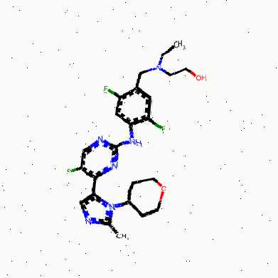 CCN(CCO)Cc1cc(F)c(Nc2ncc(F)c(-c3cnc(C)n3C3CCOCC3)n2)cc1F